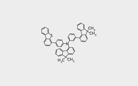 CC1(C)c2ccccc2-c2c(-c3cccc(N(c4ccc(-c5cccc6c5sc5ccccc56)cc4)c4cccc5c4-c4ccccc4C5(C)C)c3)cccc21